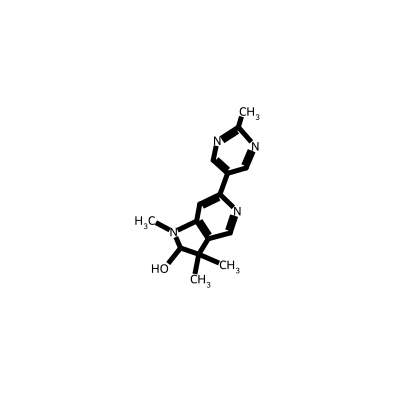 Cc1ncc(-c2cc3c(cn2)C(C)(C)C(O)N3C)cn1